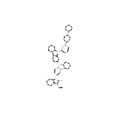 C=Cc1c(C)n(C2=CC3c4ccccc4N(c4ccc5c6ccccc6n(C6=CC=CC(c7ccc(-c8ccccc8)cc7)C6)c5c4)C3C=C2)c2ccccc12